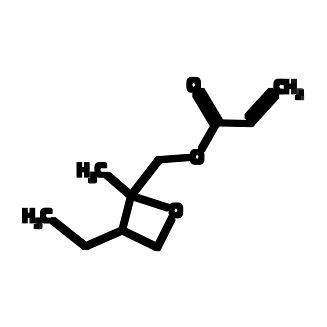 C=CC(=O)OCC1(C)OCC1CC